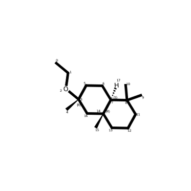 CCO[C@]1(C)CC[C@H]2C(C)(C)CCC[C@]2(C)C1